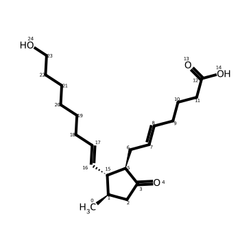 C[C@@H]1CC(=O)[C@H](CC=CCCCC(=O)O)[C@H]1C=CCCCCCCO